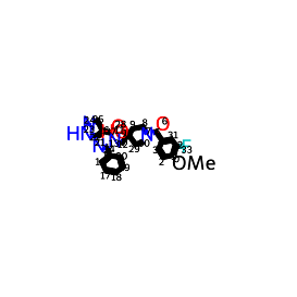 COc1ccc(C(=O)N2CCC(O)(Cn3c(-c4ccccc4)nc4[nH]ncc4c3=O)CC2)cc1F